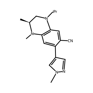 CC(C)N1C[C@H](C)N(C)c2cc(-c3cnn(C)c3)c(C#N)cc21